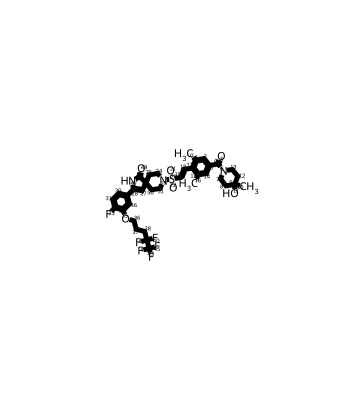 Cc1cc(C(=O)N2CCC(C)(O)CC2)cc(C)c1/C=C/S(=O)(=O)N1CCC2(C=C(c3ccc(F)c(OCCCC(F)(F)C(F)(F)F)c3)NC2=O)CC1